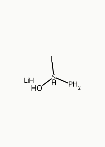 O[SH](P)I.[LiH]